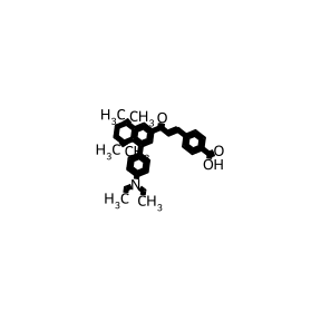 CCN(CC)c1ccc(-c2cc(C(=O)C=Cc3ccc(C(=O)O)cc3)cc3c2C(C)(C)CCC3(C)C)cc1